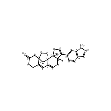 CC12CC=C3C=C4CCC(=O)CC45CC[C@]3(O5)[C@@H]1CC=C2c1ccc2cn[nH]c2c1